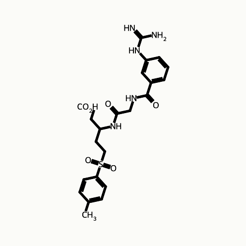 Cc1ccc(S(=O)(=O)CCC(CC(=O)O)NC(=O)CNC(=O)c2cccc(NC(=N)N)c2)cc1